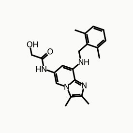 Cc1cccc(C)c1CNc1cc(NC(=O)CO)cn2c(C)c(C)nc12